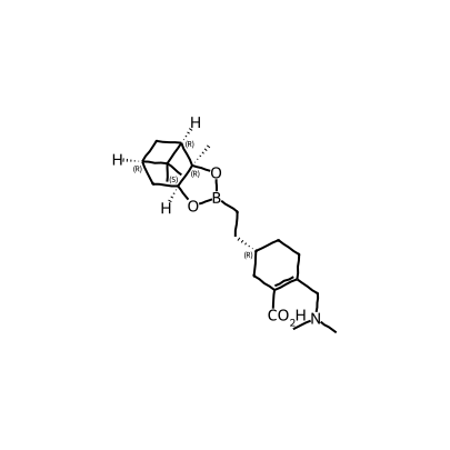 CN(C)CC1=C(C(=O)O)C[C@H](CCB2O[C@H]3C[C@H]4C[C@H](C4(C)C)[C@@]3(C)O2)CC1